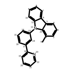 Cc1cccc2c3ccccc3n(-c3cccc(-c4ccccn4)c3)c12